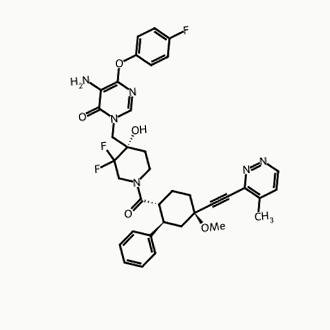 CO[C@]1(C#Cc2nnccc2C)CC[C@@H](C(=O)N2CC[C@](O)(Cn3cnc(Oc4ccc(F)cc4)c(N)c3=O)C(F)(F)C2)[C@H](c2ccccc2)C1